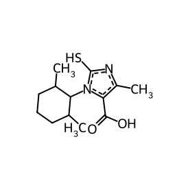 Cc1nc(S)n(C2C(C)CCCC2C)c1C(=O)O